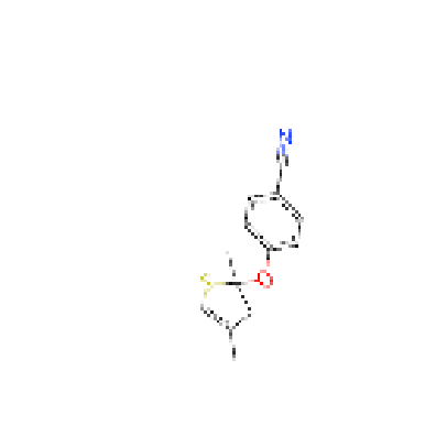 CC1=CSC(C)(Oc2ccc(C#N)cc2)C1